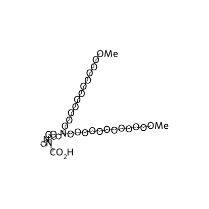 COCCOCCOCCOCCOCCOCCOCCOCCOCCOCCOCCOCCN(CCOCCOCCOCCOCCOCCOCCOCCOCCOCCOCCOCCOC)c1ccc2cc(-c3nc4ccccc4n3CCCC(=O)O)c(=O)oc2c1